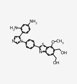 COc1c(CO)c(CO)cc2nc(-c3ccc(-n4cncc4-c4ccc(N)cc4N)cc3)sc12